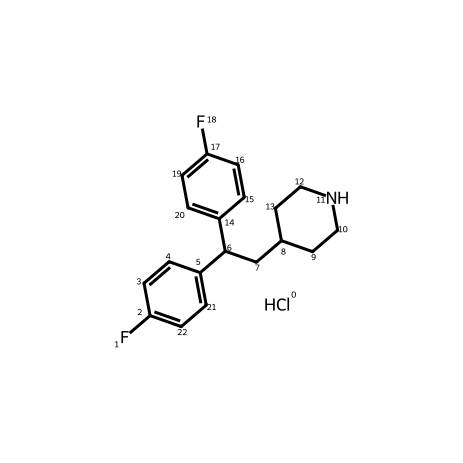 Cl.Fc1ccc(C(CC2CCNCC2)c2ccc(F)cc2)cc1